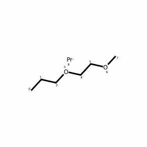 CCCOCCOC.[Pr]